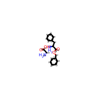 NC(Cc1ccccc1)C(=O)OCc1ccccc1.NCC(=O)O